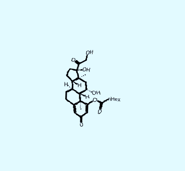 CCCCCCC(=O)OC1=CC(=O)C=C2CC[C@@H]3[C@H]([C@@H](O)C[C@@]4(C)[C@H]3CC[C@]4(O)C(=O)CO)[C@]21C